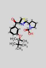 CC(C)(C)[Si](C)(C)Oc1cccc(C(=O)c2csc(C3CCCN3C(=O)O)n2)c1